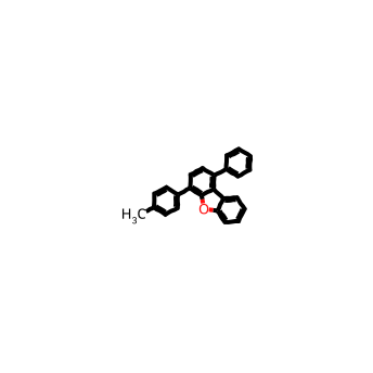 Cc1ccc(-c2ccc(-c3ccccc3)c3c2oc2ccccc23)cc1